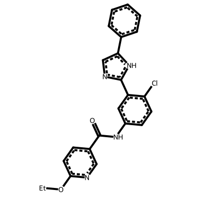 CCOc1ccc(C(=O)Nc2ccc(Cl)c(-c3ncc(-c4ccccc4)[nH]3)c2)cn1